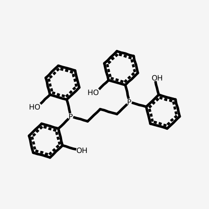 Oc1ccccc1P(CCCP(c1ccccc1O)c1ccccc1O)c1ccccc1O